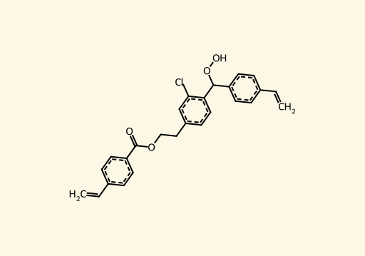 C=Cc1ccc(C(=O)OCCc2ccc(C(OO)c3ccc(C=C)cc3)c(Cl)c2)cc1